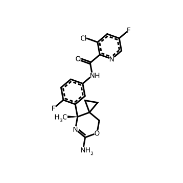 C[C@]1(c2cc(NC(=O)c3ncc(F)cc3Cl)ccc2F)N=C(N)OCC12CC2